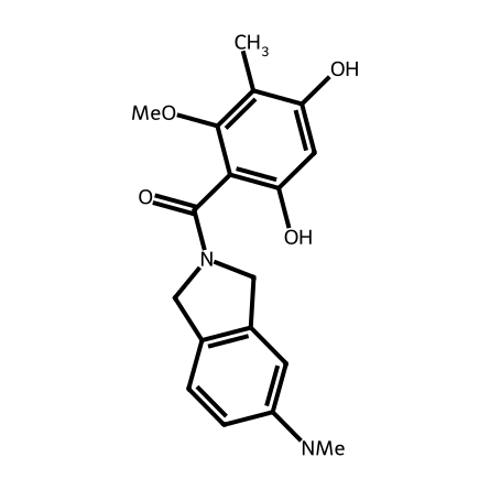 CNc1ccc2c(c1)CN(C(=O)c1c(O)cc(O)c(C)c1OC)C2